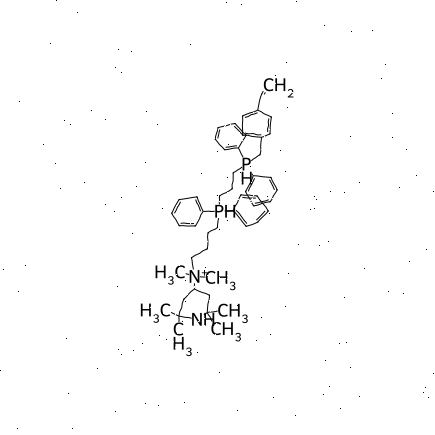 C=Cc1ccc(C[PH](CCC[PH](CCCC[N+](C)(C)C2CC(C)(C)NC(C)(C)C2)(c2ccccc2)c2ccccc2)(c2ccccc2)c2ccccc2)cc1